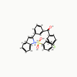 O=C(c1ccc(F)cc1)c1cccc(-c2cc3ccccc3n2S(=O)(=O)c2ccccc2)c1